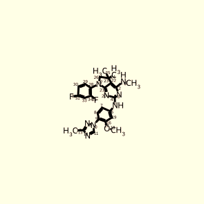 CNc1nc(Nc2ccc(-n3cnc(C)n3)c(OC)c2)nc2c1C(C)(C)CN2c1ccc(F)cc1F